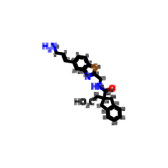 NCC=Cc1ccc2sc(CNC(=O)C3(CC(=O)O)Cc4ccccc4C3)nc2c1